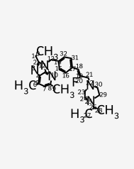 CCc1nc2c(C)cc(C)nc2n1Cc1ccc(C=C(F)CN2CCN(C(C)C)CC2)cc1